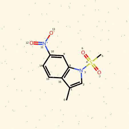 Cc1cn(S(C)(=O)=O)c2cc([N+](=O)[O-])ccc12